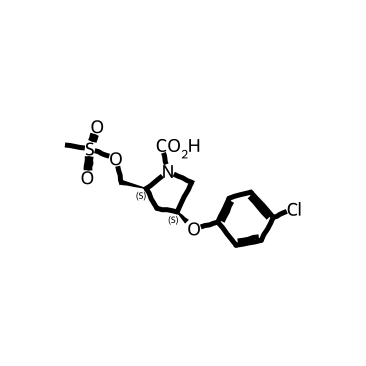 CS(=O)(=O)OC[C@@H]1C[C@H](Oc2ccc(Cl)cc2)CN1C(=O)O